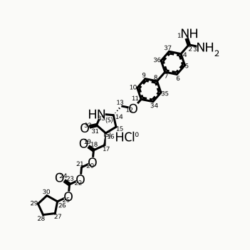 Cl.N=C(N)c1ccc(-c2ccc(OC[C@@H]3C[C@@H](CC(=O)OCOC(=O)OC4CCCC4)C(=O)N3)cc2)cc1